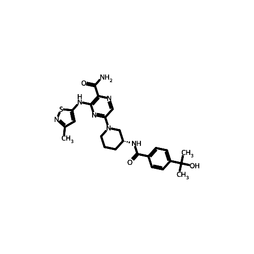 Cc1cc(Nc2nc(N3CCC[C@@H](NC(=O)c4ccc(C(C)(C)O)cc4)C3)cnc2C(N)=O)sn1